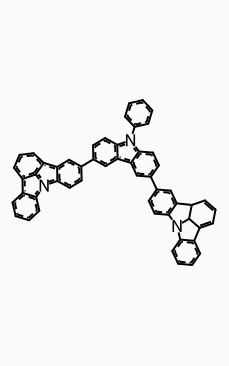 C1=CC2c3cc(-c4ccc5c(c4)c4cc(-c6ccc7c(c6)c6cccc8c9ccccc9n7c86)ccc4n5-c4ccccc4)ccc3N3c4ccccc4C(=C1)C23